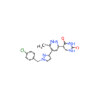 Cc1nnc(-c2c[nH]c(=O)[nH]c2=O)cc1-c1ccn(Cc2ccc(Cl)cc2)n1